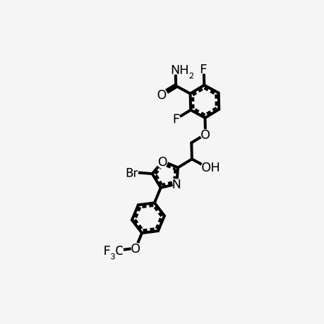 NC(=O)c1c(F)ccc(OCC(O)c2nc(-c3ccc(OC(F)(F)F)cc3)c(Br)o2)c1F